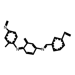 C=Cc1cccc(/C=N/C2=CC(=C)/C(=N\c3ccc(N=C)cc3C)C=C2)c1